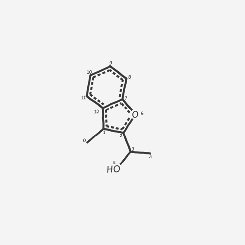 Cc1c(C(C)O)oc2ccccc12